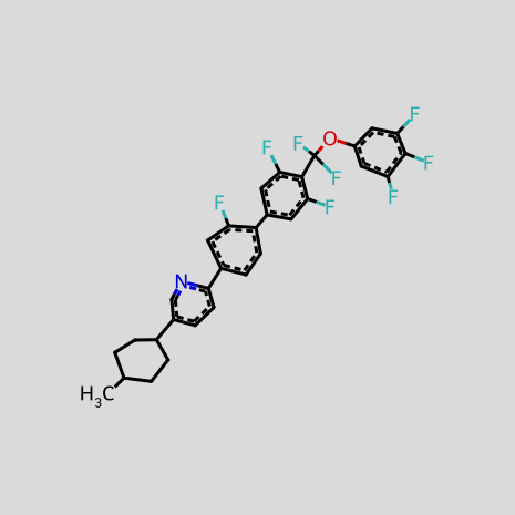 CC1CCC(c2ccc(-c3ccc(-c4cc(F)c(C(F)(F)Oc5cc(F)c(F)c(F)c5)c(F)c4)c(F)c3)nc2)CC1